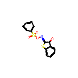 O=C1C(=NOS(=O)(=O)c2ccccc2)Sc2ccccc21